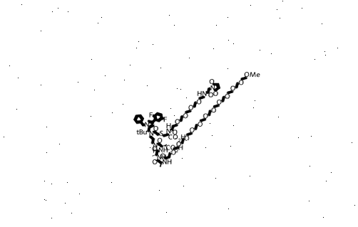 COCCOCCOCCOCCOCCOCCOCCOCCOCCOCCOCCOCCC(=O)N[C@@H](C)C(=O)N[C@H](C)C(=O)N[C@@H](CC(=O)O)C(=O)NCCCN(C(=O)CSC[C@H](NC(=O)CCOCCOCCOCCOCCNC(=O)CN1C(=O)C=CC1=O)C(=O)O)[C@@H](c1cc(-c2cc(F)ccc2F)cn1Cc1ccccc1)C(C)(C)C